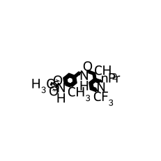 C=C(C(=O)NCc1ccc(NS(C)(=O)=O)c(C)c1)c1ccc(C(F)(F)F)nc1CCC